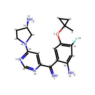 CC1(Oc2cc(C(=N)c3cc(N4CC[C@@H](N)C4)ncn3)c(N)cc2F)CC1